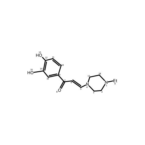 CCN1CCN(C=CC(=O)c2ccc(O)c(O)c2)CC1